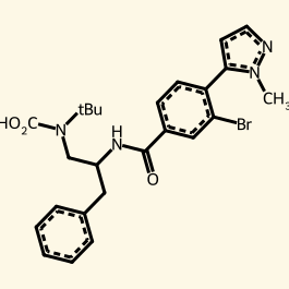 Cn1nccc1-c1ccc(C(=O)NC(Cc2ccccc2)CN(C(=O)O)C(C)(C)C)cc1Br